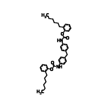 CCCCCCc1ccccc1OC(=O)Nc1ccc(Cc2ccc(NC(=O)Oc3ccccc3CCCCCC)cc2)cc1